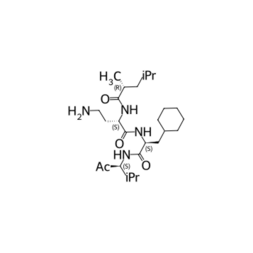 CC(=O)[C@@H](NC(=O)[C@H](CC1CCCCC1)NC(=O)[C@H](CCN)NC(=O)[C@H](C)CC(C)C)C(C)C